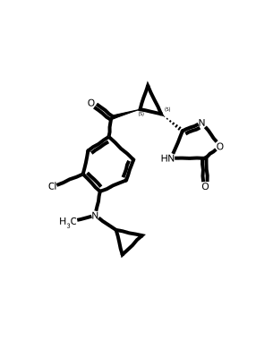 CN(c1ccc(C(=O)[C@H]2C[C@@H]2c2noc(=O)[nH]2)cc1Cl)C1CC1